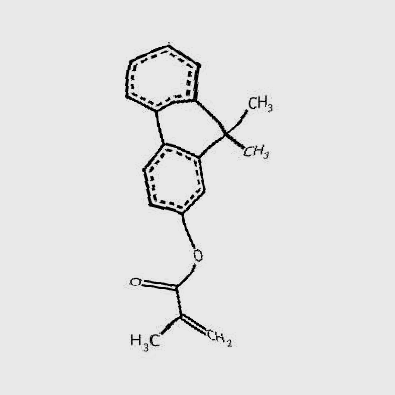 C=C(C)C(=O)Oc1ccc2c(c1)C(C)(C)c1c[c]ccc1-2